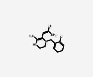 NC1=C(/C=C(\N)Cl)N(CC2=CCCC=C2Cl)CCN1